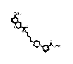 COC(=O)c1cccc(N2CCN(CCCCNC(=O)C3=Cc4cc(OC)ccc4OC3)CC2)c1